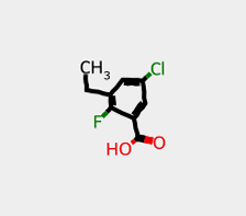 CCc1cc(Cl)cc(C(=O)O)c1F